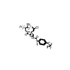 CC(CNC(=O)c1nc(NC(=O)Nc2ccc(OC(F)(F)F)cc2)cn1C/C=C(/Cl)I)C(N)=O